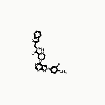 Cc1ccc(-n2cc3c(N4CCNC(C(=O)NCc5cc6ccccc6s5)C4)ncnc3n2)cc1F